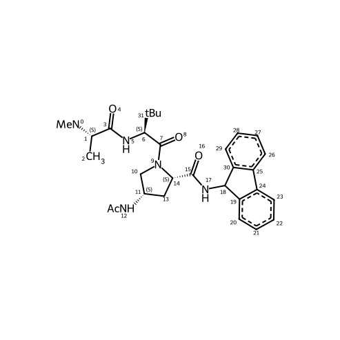 CN[C@@H](C)C(=O)N[C@H](C(=O)N1C[C@@H](NC(C)=O)C[C@H]1C(=O)NC1c2ccccc2-c2ccccc21)C(C)(C)C